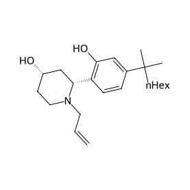 C=CCN1CC[C@H](O)C[C@@H]1c1ccc(C(C)(C)CCCCCC)cc1O